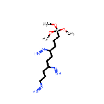 CO[Si](CCCC(CCC(CCCN=N)N=N)N=N)(OC)OC